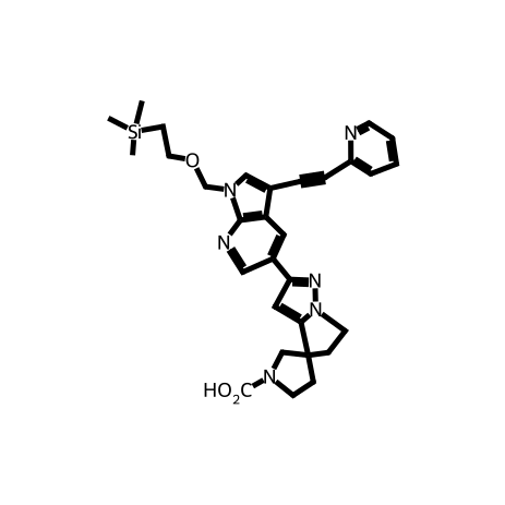 C[Si](C)(C)CCOCn1cc(C#Cc2ccccn2)c2cc(-c3cc4n(n3)CCC43CCN(C(=O)O)C3)cnc21